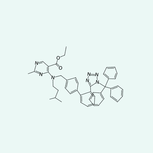 CCOC(=O)c1cnc(C)nc1N(CCC(C)C)Cc1ccc(-c2ccccc2-c2nnnn2C(c2ccccc2)(c2ccccc2)c2ccccc2)cc1